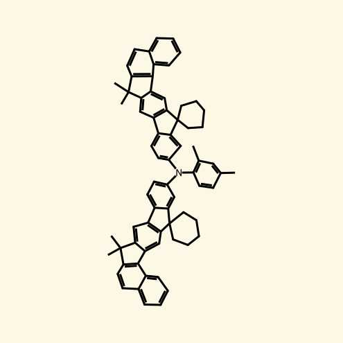 Cc1ccc(N(c2ccc3c(c2)C2(CCCCC2)c2cc4c(cc2-3)C(C)(C)c2ccc3ccccc3c2-4)c2ccc3c(c2)C2(CCCCC2)c2cc4c(cc2-3)C(C)(C)c2ccc3ccccc3c2-4)c(C)c1